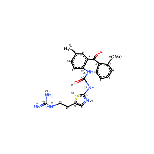 COc1ccccc1C(=O)c1cc(C)ccc1NC(=O)Nc1ncc(CCNC(=N)N)s1